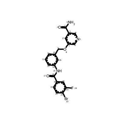 NC(=O)c1cncc(OCc2cccc(NC(=O)c3ccc(Br)c(F)c3)c2)c1